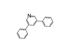 c1ccc(-c2cncc(-c3ccccc3)c2)cc1